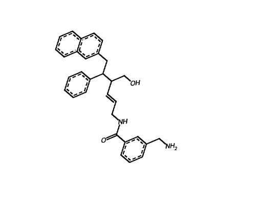 NCc1cccc(C(=O)NC/C=C/C(CO)C(Cc2ccc3ccccc3c2)c2ccccc2)c1